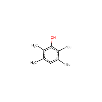 CCCCc1cc(C)c(C)c(O)c1CCCC